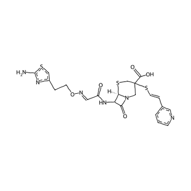 Nc1nc(CCON=CC(=O)NC2C(=O)N3CC(SC=Cc4cccnc4)(C(=O)O)CS[C@H]23)cs1